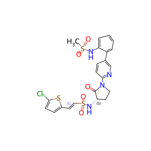 CS(=O)(=O)Nc1ccccc1-c1ccc(N2CC[C@H](NS(=O)(=O)/C=C/c3ccc(Cl)s3)C2=O)nc1